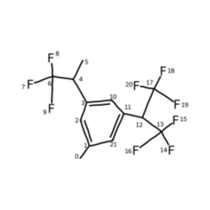 Cc1cc(C(C)C(F)(F)F)cc(C(C(F)(F)F)C(F)(F)F)c1